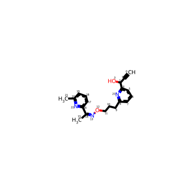 C#CC(O)c1cccc(CCCON=C(C)c2cccc(C)n2)n1